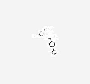 Cc1ncsc1-c1ccc(C(NC(=O)[C@@H]2C[C@@H](O)CN2C(=O)O)C(F)(F)F)cc1